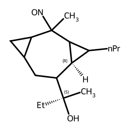 CCCC1C2[C@@H]1C([C@@](C)(O)CC)CC1CC1C2(C)N=O